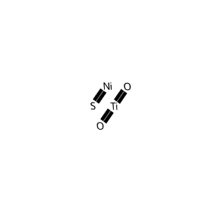 [O]=[Ti]=[O].[S]=[Ni]